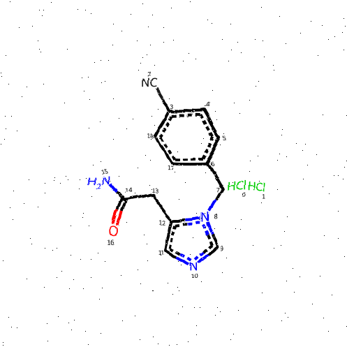 Cl.Cl.N#Cc1ccc(Cn2cncc2CC(N)=O)cc1